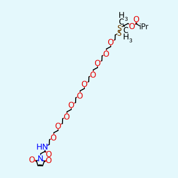 CC(C)C(=O)OCC(C)(C)SSCCOCCOCCOCCOCCOCCOCCOCCOCCOCCOCCNC(=O)CN1C(=O)C=CC1=O